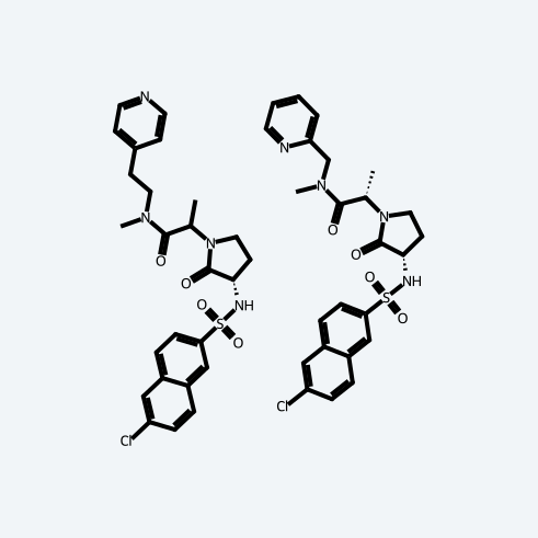 CC(C(=O)N(C)CCc1ccncc1)N1CC[C@H](NS(=O)(=O)c2ccc3cc(Cl)ccc3c2)C1=O.C[C@@H](C(=O)N(C)Cc1ccccn1)N1CC[C@H](NS(=O)(=O)c2ccc3cc(Cl)ccc3c2)C1=O